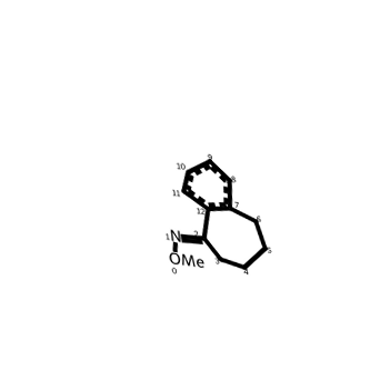 CON=C1CCCCc2ccccc21